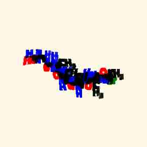 C=C(Br)C(=O)Nc1c[nH]c(C(=O)Nc2c[nH]c(C(=O)Nc3c[nH]c(C(=O)Nc4nc(C(=O)NCCC(N)=NO)[nH]c4C)c3C)c2C)c1C